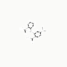 CN(C)c1ccc(C(=O)O)c(Nc2ccccc2C(=O)O)c1